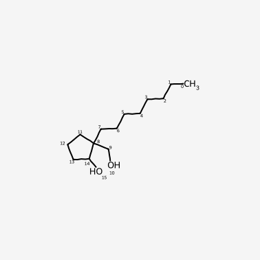 CCCCCCCCC1(CO)CCCC1O